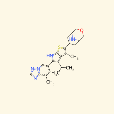 Cc1c(C2CC3COCC(C2)N3)sc2[nH]c(-c3cc(C)c4ncnn4c3)c(C(C)C)c12